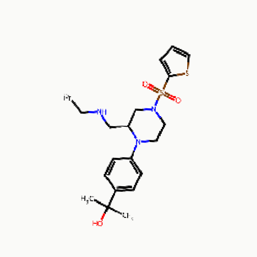 CC(C)CNC[C@H]1CN(S(=O)(=O)c2cccs2)CCN1c1ccc(C(C)(O)C(F)(F)F)cc1